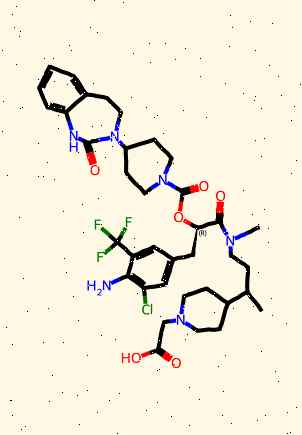 CC(CCN(C)C(=O)[C@@H](Cc1cc(Cl)c(N)c(C(F)(F)F)c1)OC(=O)N1CCC(N2CCc3ccccc3NC2=O)CC1)C1CCN(CC(=O)O)CC1